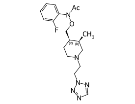 CC(=O)N(OC[C@@H]1CCN(CCn2ncnn2)C[C@@H]1C)c1ccccc1F